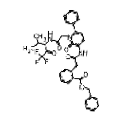 CC(C)C(NC(=O)Cn1c(-c2ccccc2)ccc(NC(=O)Cc2ccccc2C(=O)OCc2ccccc2)c1=O)C(=O)C(F)(F)F